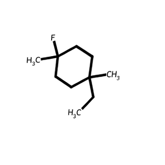 CCC1(C)CCC(C)(F)CC1